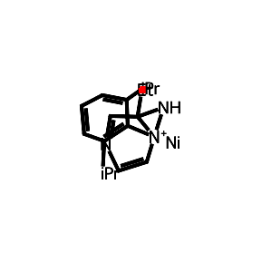 CCC12C=NC=C[N+]1(c1c(C(C)C)cccc1C(C)C)N2.[Ni]